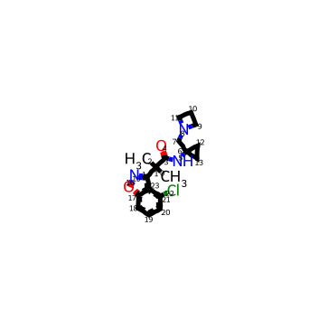 CC(C)(C(=O)NC1(CN2CCC2)CC1)c1noc2cccc(Cl)c12